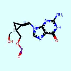 Nc1nc2c(ncn2/C=C2/C[C@]2(CO)COP=O)c(=O)[nH]1